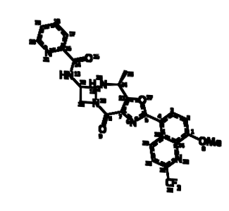 COc1ccc(-c2nc(C(=O)N3CC(NC(=O)c4ccccn4)C3)c([C@H](C)N)o2)c2ccc(C(F)(F)F)nc12